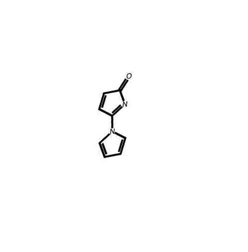 O=C1C=CC(n2cccc2)=N1